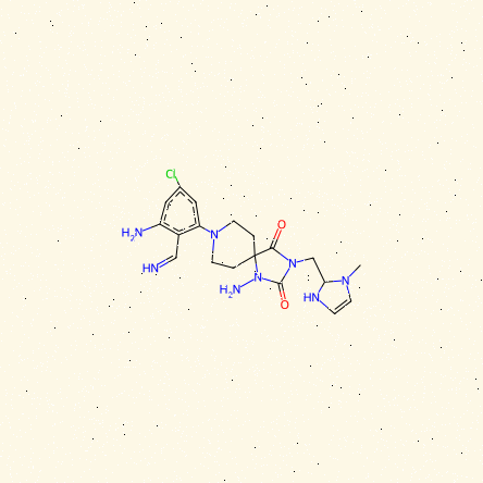 CN1C=CNC1CN1C(=O)N(N)C2(CCN(c3cc(Cl)cc(N)c3C=N)CC2)C1=O